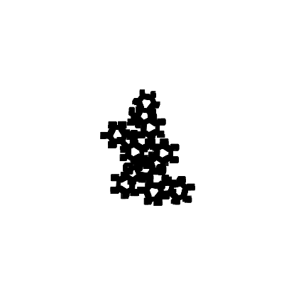 CC1(C)c2ccccc2-c2ccc(N(c3cccc4c3sc3ccccc34)c3cccc4oc5c(-c6cccc7c6sc6ccccc67)c6c(cc5c34)oc3ccccc36)cc21